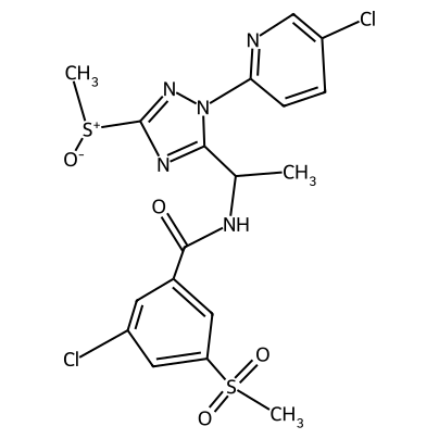 CC(NC(=O)c1cc(Cl)cc(S(C)(=O)=O)c1)c1nc([S+](C)[O-])nn1-c1ccc(Cl)cn1